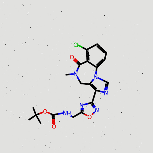 CN1Cc2c(-c3noc(CNC(=O)OC(C)(C)C)n3)ncn2-c2cccc(Cl)c2C1=O